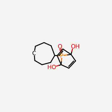 O=P1(C2CCCCCCC2)C2(O)C=CC1(O)C=C2